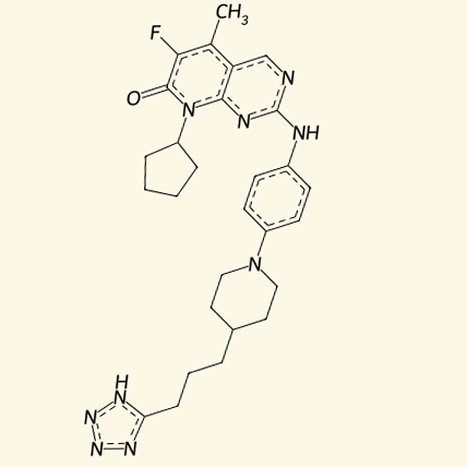 Cc1c(F)c(=O)n(C2CCCC2)c2nc(Nc3ccc(N4CCC(CCCc5nnn[nH]5)CC4)cc3)ncc12